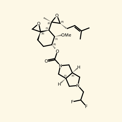 CO[C@@H]1[C@H](OC(=O)N2C[C@H]3CN(CC(F)F)C[C@H]3C2)CC[C@]2(CO2)[C@H]1[C@@]1(C)O[C@@H]1CC=C(C)C